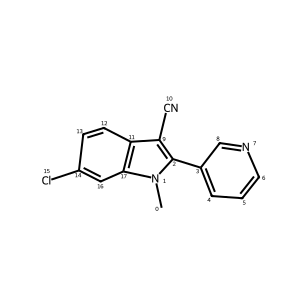 Cn1c(-c2cccnc2)c(C#N)c2ccc(Cl)cc21